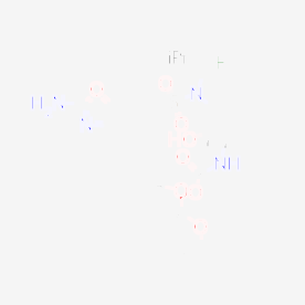 CC(C)CN(C[C@@H](O)[C@H](Cc1cccc(F)c1)NC(=O)OC1C2COC3OC1CC3C2)S(=O)(=O)c1ccc2nc(N)oc2c1